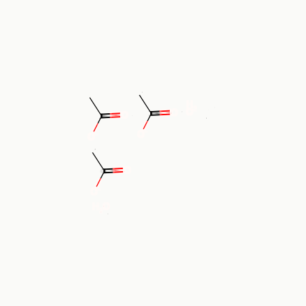 CC(=O)[O-].CC(=O)[O-].CC(=O)[O-].O.O.[Tb+3]